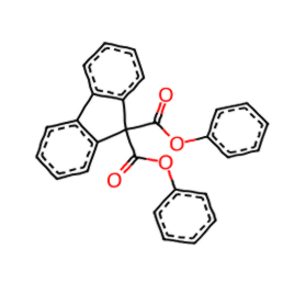 O=C(Oc1ccccc1)C1(C(=O)Oc2ccccc2)c2ccccc2-c2ccccc21